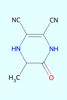 CC1NC(C#N)=C(C#N)NC1=O